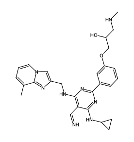 CNCC(O)COc1cccc(-c2nc(NCc3cn4cccc(C)c4n3)c(C=N)c(NC3CC3)n2)c1